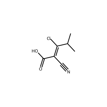 CC(C)/C(Cl)=C(\C#N)C(=O)O